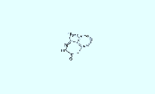 CCCCCC1=NNC(=O)Cc2ccccc21